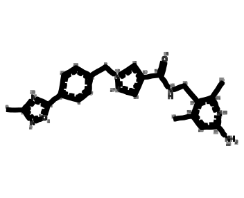 Cc1noc(-c2ccc(Cn3cc(C(=O)NCc4c(C)cc(N)nc4C)cn3)cc2)n1